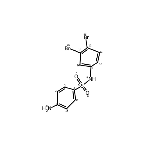 Nc1ccc(S(=O)(=O)Nc2ccc(Br)c(Br)c2)cc1